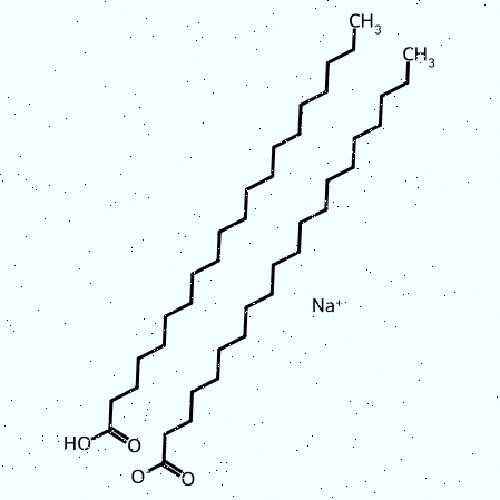 CCCCCCCCCCCCCCCCCCCC(=O)O.CCCCCCCCCCCCCCCCCCCC(=O)[O-].[Na+]